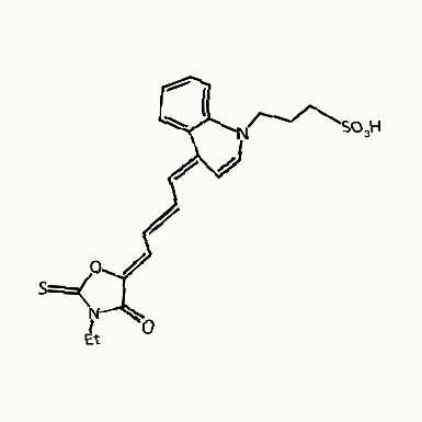 CCN1C(=O)C(=CC=CC=C2C=CN(CCCS(=O)(=O)O)c3ccccc32)OC1=S